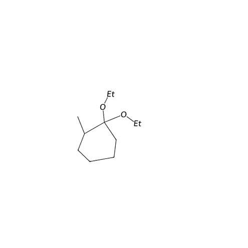 CCOC1(OCC)CCCCC1C